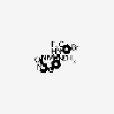 CNC(=O)c1cc(Oc2ccc3c(c2)nc(Nc2ccc(Br)cc2C(F)(F)F)n3C)ccn1